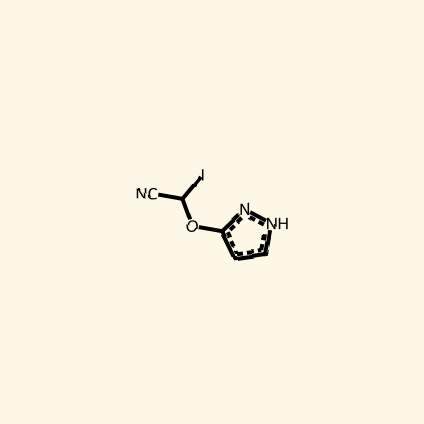 N#CC(I)Oc1cc[nH]n1